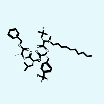 CCCCCCCCCCN(C)[C@@H](CC(C)(C)F)C(=O)O[C@H](Cc1ccc(C(F)(F)F)cc1)C(=O)N(C)[C@@H](CC(C)C)C(=O)O[C@H](C)C(=O)OCc1ccccc1